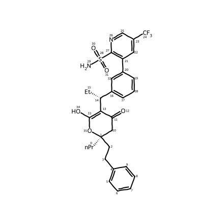 CCC[C@@]1(CCc2ccccc2)CC(=O)C([C@H](CC)c2cccc(-c3cc(C(F)(F)F)cnc3S(N)(=O)=O)c2)=C(O)O1